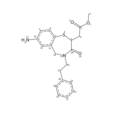 COC(=O)CC1Sc2ccc(N)cc2CN(CCc2ccccc2)C1=O